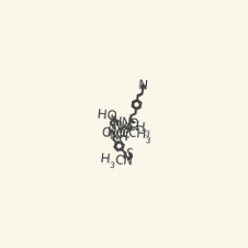 Cc1ncsc1-c1ccc(CNC(=O)[C@@H]2C[C@@H](O)CN2C(=O)[C@@H](NC(=O)CCc2ccc(C=CC#N)cc2)C(C)(C)C)cc1